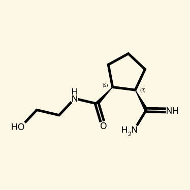 N=C(N)[C@@H]1CCC[C@@H]1C(=O)NCCO